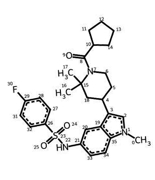 Cn1cc(C2CCN(C(=O)C3CCCC3)C(C)(C)C2)c2cc(NS(=O)(=O)c3ccc(F)cc3)ccc21